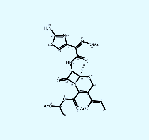 C/C=C(\OC(C)=O)C1=C(C(=O)OC(C)OC(C)=O)N2C(=O)[C@@H](NC(=O)/C(=N\OC)c3csc(N)n3)[C@H]2SC1